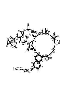 CCOC(C)=O.CC[C@@H]1[C@@H]2CN(C(=O)[C@H](C(C)(C)C)NC(=O)O[C@@H]3C[C@H]3CCCCC(F)(F)c3nc4ccc(OC)cc4nc3O2)[C@@H]1C(=O)N[C@]1(C(=O)NS(=O)(=O)C2(C)CC2)C[C@H]1C(F)F